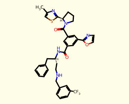 Cc1csc([C@H]2CCCN2C(=O)c2cc(C(=O)N[C@H](CCNCc3cccc(C(F)(F)F)c3)Cc3ccccc3)cc(-c3ncco3)c2)n1